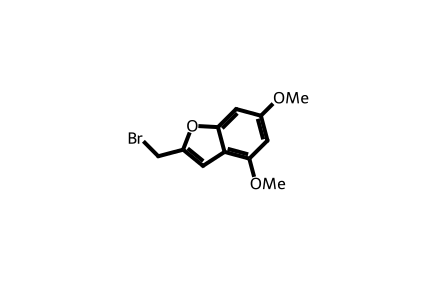 COc1cc(OC)c2cc(CBr)oc2c1